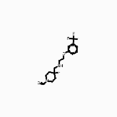 O=CN1CCC(F)(CNCCOc2cccc(C(F)(F)F)c2)CC1